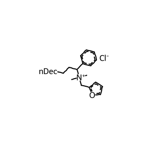 CCCCCCCCCCCCC(c1ccccc1)[N+](C)(C)Cc1ccco1.[Cl-]